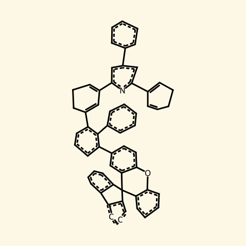 C1=CC(c2cc(-c3ccccc3)cc(C3=CCCC(c4cccc(-c5ccc6c(c5)C5(c7ccccc7O6)c6ccccc6-c6ccccc65)c4-c4ccccc4)=C3)n2)=CCC1